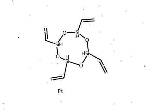 C=C[SiH]1O[SiH](C=C)O[SiH](C=C)O[SiH](C=C)O1.[Pt]